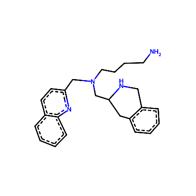 NCCCCN(Cc1ccc2ccccc2n1)CC1Cc2ccccc2CN1